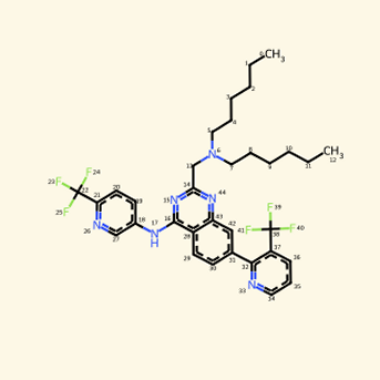 CCCCCCN(CCCCCC)Cc1nc(Nc2ccc(C(F)(F)F)nc2)c2ccc(-c3ncccc3C(F)(F)F)cc2n1